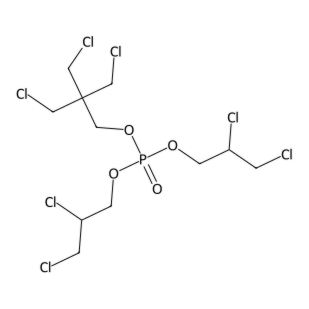 O=P(OCC(Cl)CCl)(OCC(Cl)CCl)OCC(CCl)(CCl)CCl